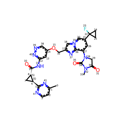 Cc1ccnc([C@H]2C[C@@H]2C(=O)Nc2cc(OCc3cn4cc(C5(F)CC5)cc(N5CC(=O)N(C)C5=O)c4n3)cnn2)n1